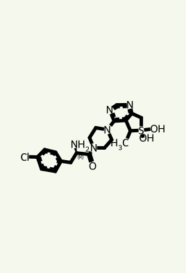 CC1c2c(ncnc2N2CCN(C(=O)[C@H](N)Cc3ccc(Cl)cc3)CC2)CS1(O)O